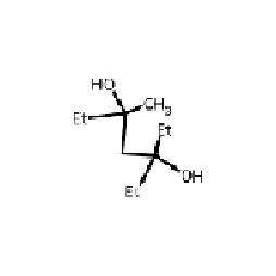 CCC(C)(O)CC(O)(CC)CC